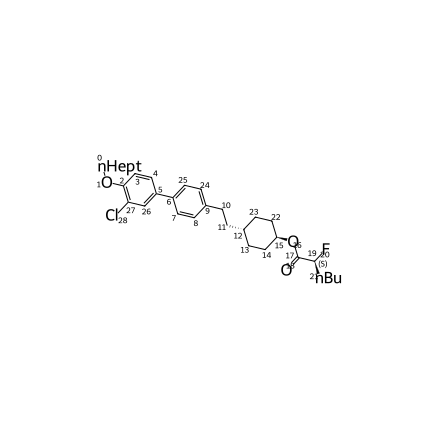 CCCCCCCOc1ccc(-c2ccc(CC[C@H]3CC[C@H](OC(=O)[C@@H](F)CCCC)CC3)cc2)cc1Cl